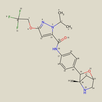 CC(C)n1nc(OCC(F)(F)F)cc1C(=O)Nc1ccc(C2OC3CN[C@H]2C3)cc1